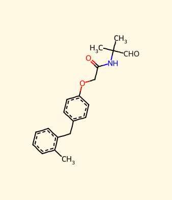 Cc1ccccc1Cc1ccc(OCC(=O)NC(C)(C)C=O)cc1